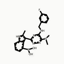 Cc1[nH]c2cccc(B(O)O)c2c1-c1nnc(N(C)C)c(NCc2cccc(F)c2)n1